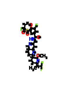 COc1nc([C@@H](C)C(F)F)ccc1-c1ccc2cnc(CNC(=O)c3cc(F)c4c(c3)S(=O)(=O)[C@@H](F)CCO4)cc2n1